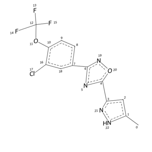 Cc1cc(-c2nc(-c3ccc(OC(F)(F)F)c(Cl)c3)no2)n[nH]1